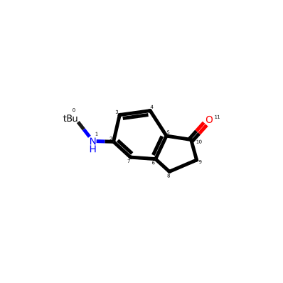 CC(C)(C)Nc1ccc2c(c1)CCC2=O